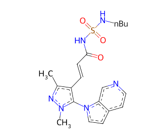 CCCCNS(=O)(=O)NC(=O)C=Cc1c(C)nn(C)c1-n1ccc2ccncc21